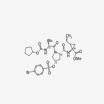 C=CC1C[C@]1(NC(=O)[C@@H]1C[C@H](OS(=O)(=O)c2ccc(Br)cc2)CN1C(=O)[C@@H](NC(=O)OC1CCCC1)C(C)(C)C)C(=O)OC